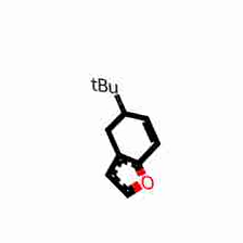 CC(C)(C)C1C=Cc2occc2C1